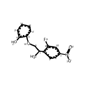 O=[N+]([O-])c1ccc(C(O)COc2ccccc2O)c(F)c1